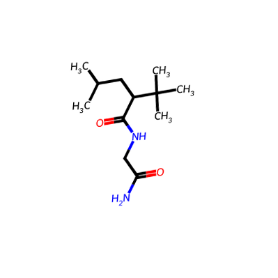 CC(C)CC(C(=O)NCC(N)=O)C(C)(C)C